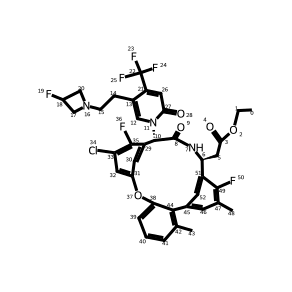 CCOC(=O)C[C@@H]1NC(=O)[C@@H](n2cc(CCN3CC(F)C3)c(C(F)(F)F)cc2=O)c2cc(cc(Cl)c2F)Oc2cccc(C)c2-c2cc(C)c(F)c1c2